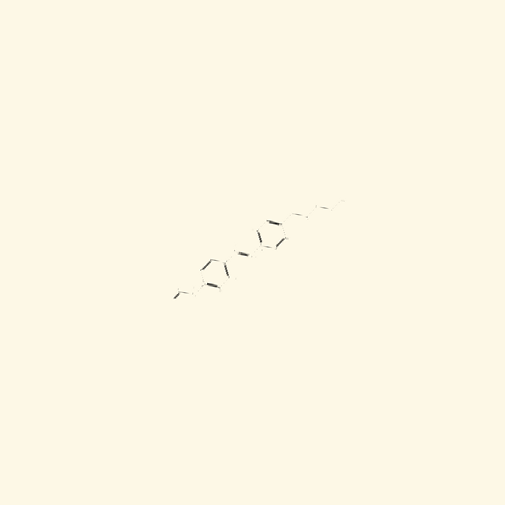 CCCCCc1ccc(N=Nc2ccc(N[C]=O)cc2)cc1